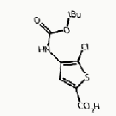 CC(C)(C)OC(=O)Nc1cc(C(=O)O)sc1Cl